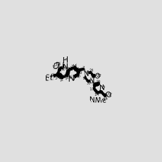 CCc1cc2ncc(CN3CCN(c4ccc(C(=O)NC)nc4)C(=O)C3)cc2[nH]c1=O